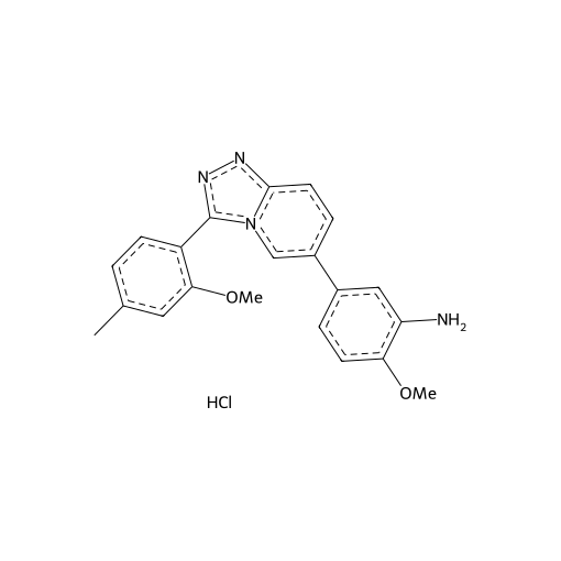 COc1ccc(-c2ccc3nnc(-c4ccc(C)cc4OC)n3c2)cc1N.Cl